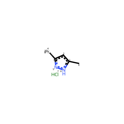 Cc1cc(C(C)C)n[nH]1.Cl